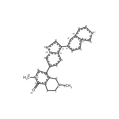 CN1CCc2c(c(-c3ccc4c(-c5ccc6cnccc6c5)cnn4c3)cn(C)c2=O)C1